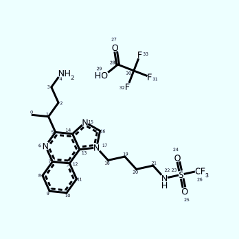 CC(CCN)c1nc2ccccc2c2c1ncn2CCCCNS(=O)(=O)C(F)(F)F.O=C(O)C(F)(F)F